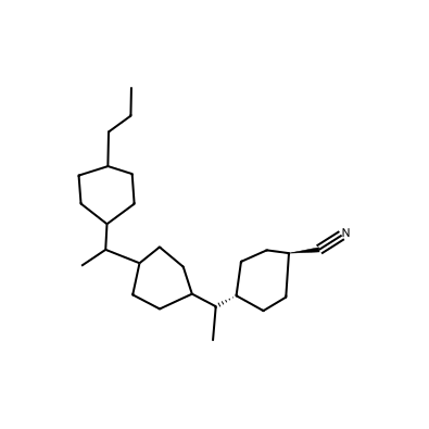 CCCC1CCC(C(C)C2CCC(C(C)[C@H]3CC[C@H](C#N)CC3)CC2)CC1